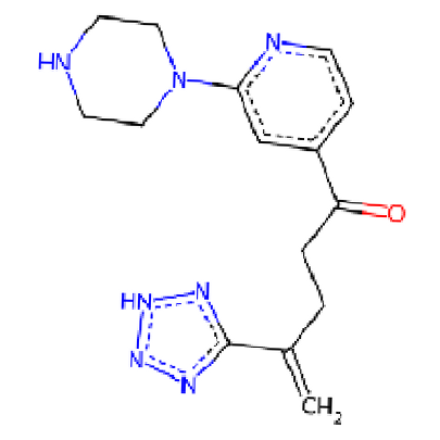 C=C(CCC(=O)c1ccnc(N2CCNCC2)c1)c1nn[nH]n1